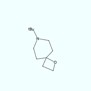 CC(C)(C)N1CCC2(CCO2)CC1